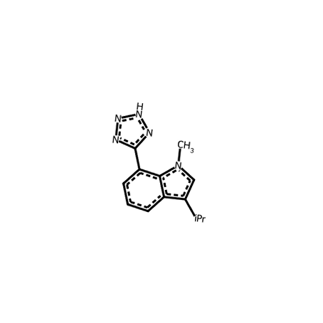 CC(C)c1cn(C)c2c(-c3nn[nH]n3)cccc12